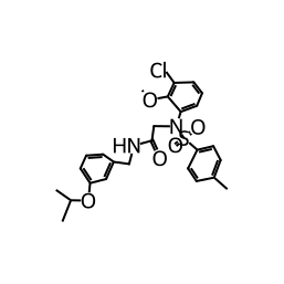 COc1c(Cl)cccc1N(CC(=O)NCc1cccc(OC(C)C)c1)S(=O)(=O)c1ccc(C)cc1